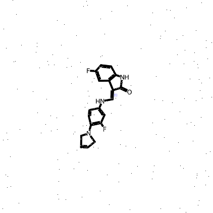 O=C1Nc2ccc(F)cc2/C1=C\Nc1ccc(N2CC=CC2)c(F)c1